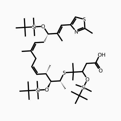 C/C(=C/C[C@H](O[Si](C)(C)C(C)(C)C)/C(C)=C/c1csc(C)n1)C/C=C\[C@H](C)[C@H](O[Si](C)(C)C(C)(C)C)[C@@H](C)SC(C)(C)C(CC(=O)O)O[Si](C)(C)C(C)(C)C